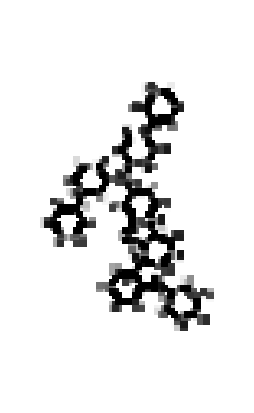 c1ccc(-c2ccc(N(c3cccc(-c4ccccc4)c3)c3ccc4c(c3)oc3c4ccc4c3c3ccccc3n4-c3ccccc3)cc2)cc1